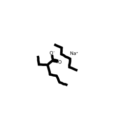 CCCCC(CC)C(=O)[O-].CCCCCC.[Na+]